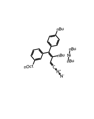 CCCCCCCCc1cccc(C(=C(C=C=[N+]=[N-])CCCC)c2ccc(CCCC)cc2)c1.CCC[CH2][Ni][CH2]CCC